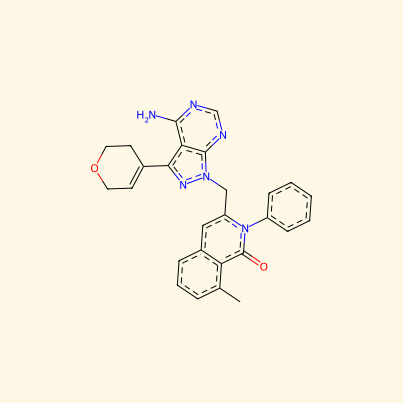 Cc1cccc2cc(Cn3nc(C4=CCOCC4)c4c(N)ncnc43)n(-c3ccccc3)c(=O)c12